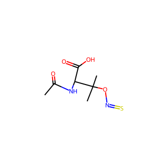 CC(=O)NC(C(=O)O)C(C)(C)ON=S